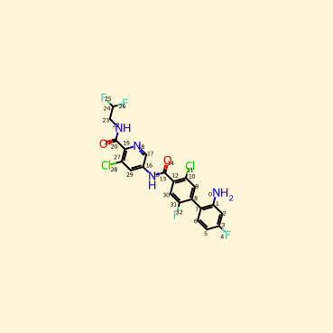 Nc1cc(F)ccc1-c1cc(Cl)c(C(=O)Nc2cnc(C(=O)NCC(F)F)c(Cl)c2)cc1F